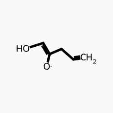 C=CCC([O])=CO